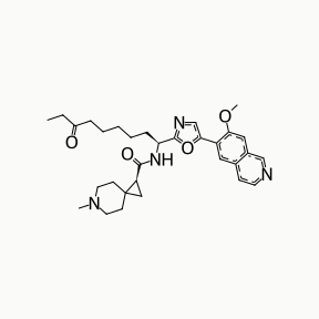 CCC(=O)CCCCC[C@H](NC(=O)[C@H]1CC12CCN(C)CC2)c1ncc(-c2cc3ccncc3cc2OC)o1